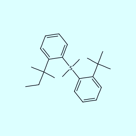 CCC(C)(C)c1ccccc1S(C)(C)c1ccccc1C(C)(C)C